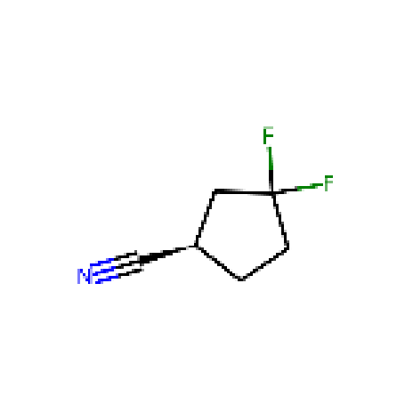 N#C[C@@H]1CCC(F)(F)C1